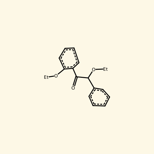 CCOc1ccccc1C(=O)C(OCC)c1ccccc1